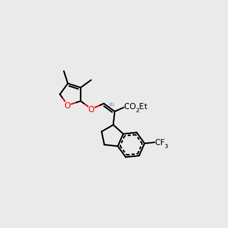 CCOC(=O)/C(=C/OC1OCC(C)=C1C)C1CCc2ccc(C(F)(F)F)cc21